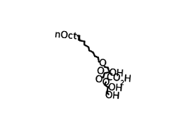 CCCCCCCCC=CCCCCCCCCOC(=O)CC(O)(CC(=O)OCC(O)CO)C(=O)O